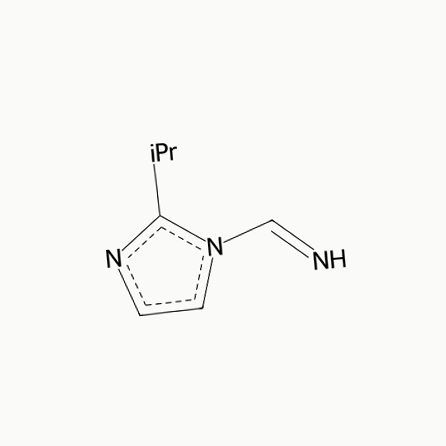 CC(C)c1nccn1C=N